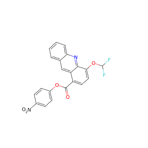 O=C(Oc1ccc([N+](=O)[O-])cc1)c1ccc(OC(F)F)c2nc3ccccc3cc12